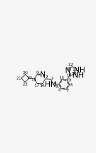 C1=NC(CNc2cccc(C3=NCNN3)c2)CCC1C1CCC1